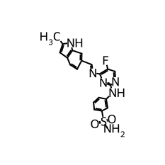 Cc1cc2ccc(C=Nc3nc(Nc4cccc(S(N)(=O)=O)c4)ncc3F)cc2[nH]1